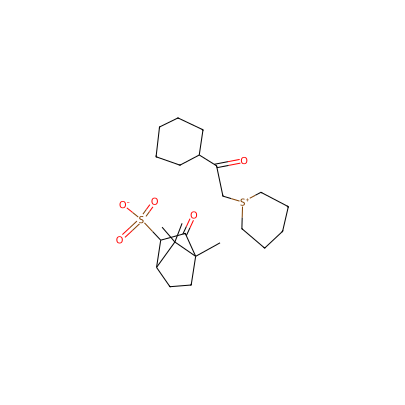 CC12CCC(C(S(=O)(=O)[O-])C1=O)C2(C)C.O=C(C[S+]1CCCCC1)C1CCCCC1